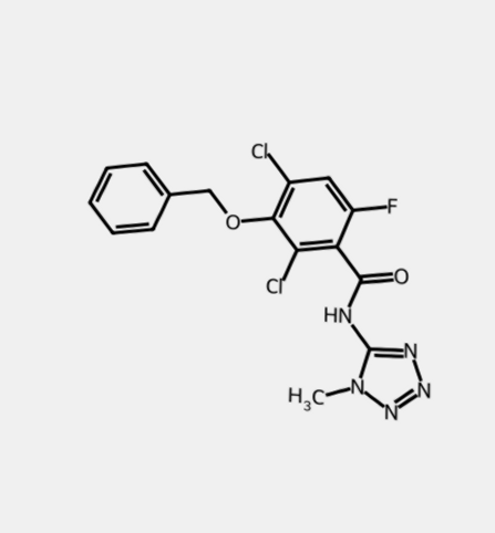 Cn1nnnc1NC(=O)c1c(F)cc(Cl)c(OCc2ccccc2)c1Cl